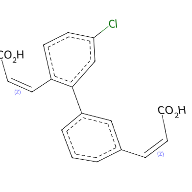 O=C(O)/C=C\c1cccc(-c2cc(Cl)ccc2/C=C\C(=O)O)c1